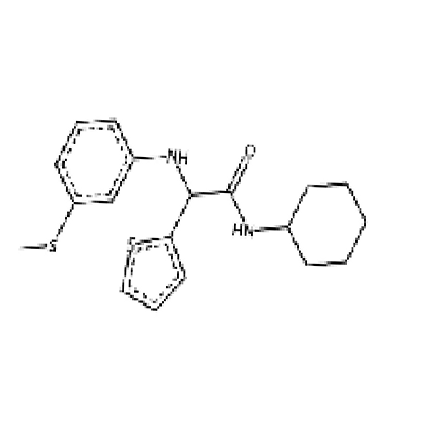 CSc1cccc(NC(C(=O)NC2CCCCC2)c2cccs2)c1